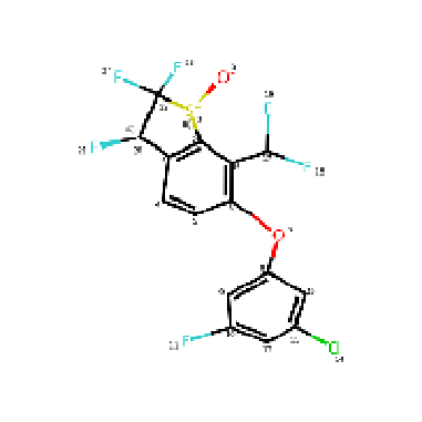 [O-][S@@+]1c2c(ccc(Oc3cc(F)cc(Cl)c3)c2C(F)F)[C@@H](F)C1(F)F